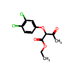 CCOC(=O)C(Oc1ccc(Cl)c(Cl)c1)C(C)=O